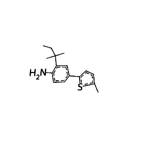 CCC(C)(C)c1cc(-c2ccc(C)s2)ccc1N